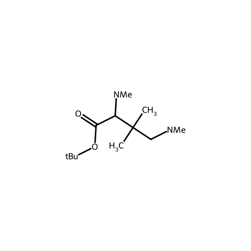 CNCC(C)(C)C(NC)C(=O)OC(C)(C)C